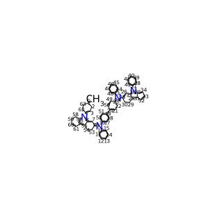 CC1CC=C(N2C3=CC(N(c4ccccc4)c4ccc(C5=CCC(N(C6=CC7C(CC6)C6C=CC=C6N7c6ccccc6)c6ccccc6)C=C5)cc4)CCC3C3=C2CCC=C3)CC1